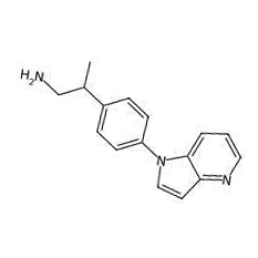 CC(CN)c1ccc(-n2ccc3ncccc32)cc1